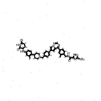 Cc1cc(-c2ncnn3cc(-c4ccc(CN5CCC(c6ccc(N[C@@H]7CCC(=O)NC7=O)cc6F)CC5)cc4)cc23)ccc1CNC(=O)c1noc(C(C)(C)C)n1